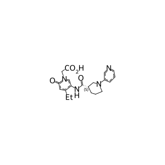 CCc1cc(=O)n(CC(=O)O)cc1NC(=O)[C@H]1CCCN(c2cccnc2)C1